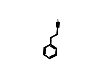 N#C[CH]Cc1ccccc1